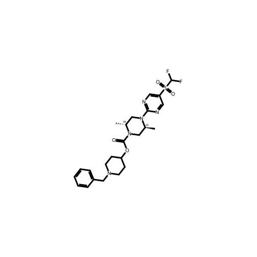 C[C@@H]1CN(c2ncc(S(=O)(=O)C(F)F)cn2)[C@@H](C)CN1C(=O)OC1CCN(Cc2ccccc2)CC1